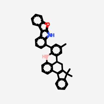 Cc1cc(-c2cccc3c2[nH]c2oc4ccccc4c23)c2c(c1)C1CC3=C(c4ccccc4C3(C)C)c3cccc(c31)B2